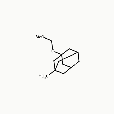 COCOC12CC3CC(C1)CC(C(=O)O)(C3)C2